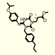 CCCc1ccc(Cn2c(=O)n(C[C@H](C)C(=O)OC)c(=O)[nH]/c2=N\c2ccc(OC(C)C)cc2)cc1